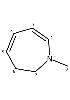 CN1C=CC=CCC1